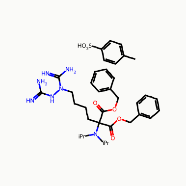 CC(C)N(C(C)C)C(CCCCN(NC(=N)N)C(=N)N)(C(=O)OCc1ccccc1)C(=O)OCc1ccccc1.Cc1ccc(S(=O)(=O)O)cc1